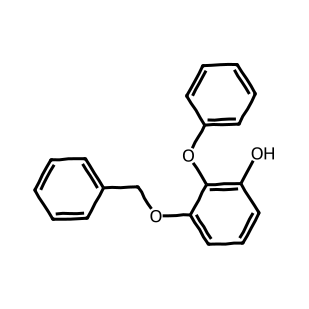 Oc1cccc(OCc2ccccc2)c1Oc1ccccc1